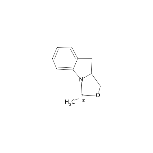 C[P@@]1OCC2Cc3ccccc3N21